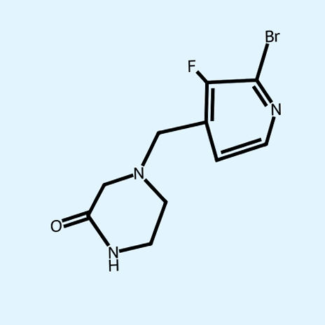 O=C1CN(Cc2ccnc(Br)c2F)CCN1